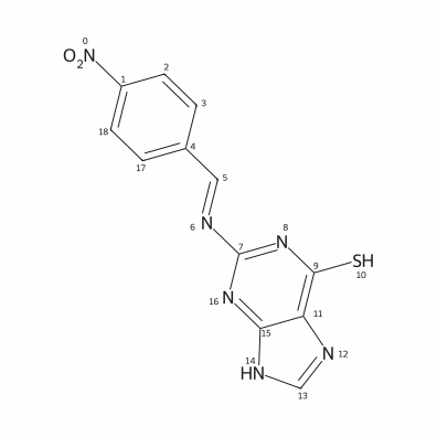 O=[N+]([O-])c1ccc(C=Nc2nc(S)c3nc[nH]c3n2)cc1